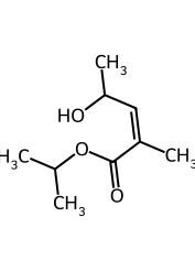 CC(=CC(C)O)C(=O)OC(C)C